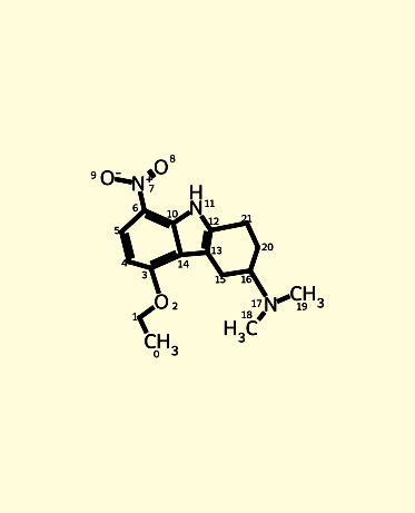 CCOc1ccc([N+](=O)[O-])c2[nH]c3c(c12)CC(N(C)C)CC3